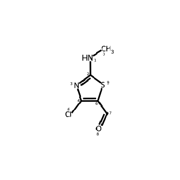 CNc1nc(Cl)c(C=O)s1